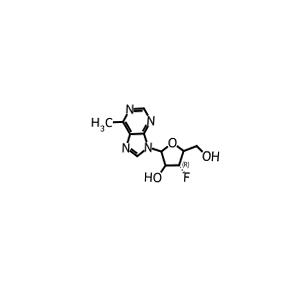 Cc1ncnc2c1ncn2C1OC(CO)[C@H](F)C1O